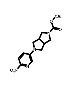 CC(C)(C)OC(=O)N1CC2CN(c3ccc([N+](=O)[O-])nc3)CC2C1